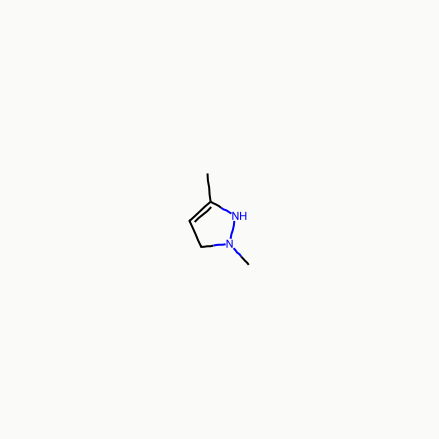 CC1=CCN(C)N1